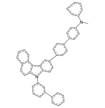 CN(c1ccccc1)c1ccc(-c2ccc(-c3ccc4c(c3)c3c5ccccc5ccc3n4-c3cccc(-c4ccccc4)c3)cc2)cc1